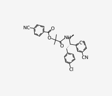 C[C@H](NC(=O)C(C)(C)OC(=O)c1ccc(C#N)cc1)[C@@H](Cc1ccc(Cl)cc1)c1cccc(C#N)c1